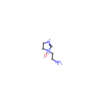 NCC[N+]1([O-])C=NCC1